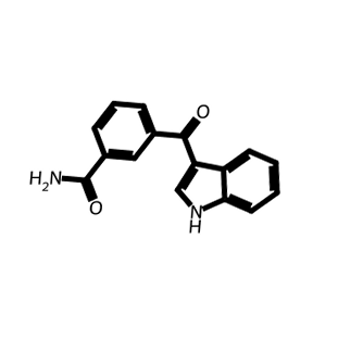 NC(=O)c1cccc(C(=O)c2c[nH]c3ccccc23)c1